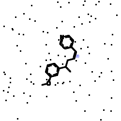 COc1cccc(C(C)C/C=C\c2ccncc2)c1